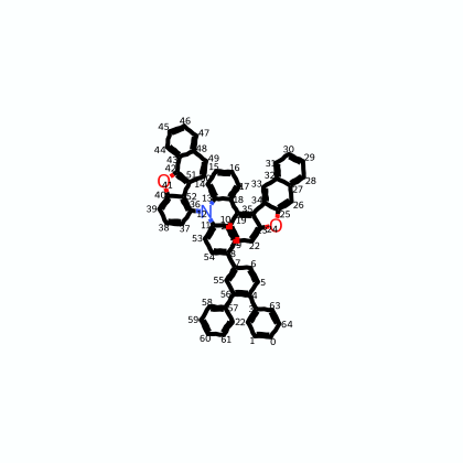 c1ccc(-c2ccc(-c3ccc(N(c4ccccc4-c4cccc5oc6cc7ccccc7cc6c45)c4cccc5oc6c7ccccc7ccc6c45)cc3)cc2-c2ccccc2)cc1